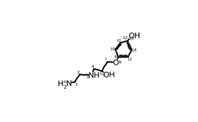 NCCNC[C@H](O)COc1ccc(O)cc1